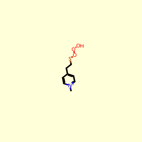 C[n+]1ccc(CCSOOO)cc1